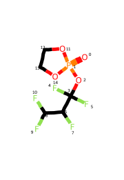 O=P1(OC(F)(F)C(F)C(F)F)OCCO1